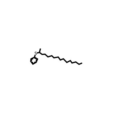 CCCCCCCCCCCCCCC(C)Sc1ccccc1